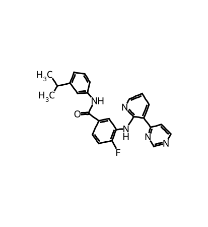 CC(C)c1cccc(NC(=O)c2ccc(F)c(Nc3ncccc3-c3ccncn3)c2)c1